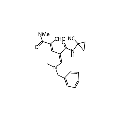 CNC(=O)/C(C=O)=C/C(=C\N(C)Cc1ccccc1)C(=O)NC1(C#N)CC1